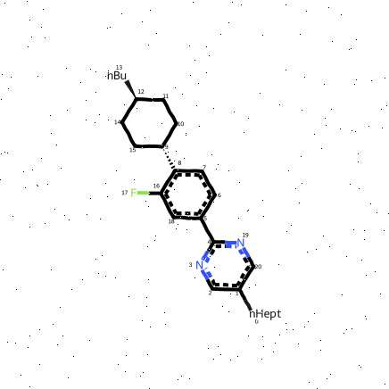 CCCCCCCc1cnc(-c2ccc([C@H]3CC[C@H](CCCC)CC3)c(F)c2)nc1